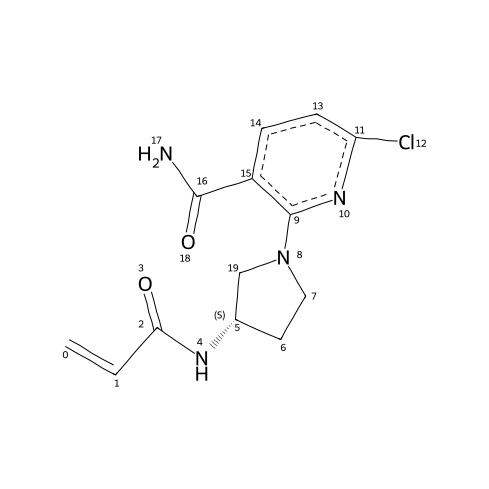 C=CC(=O)N[C@H]1CCN(c2nc(Cl)ccc2C(N)=O)C1